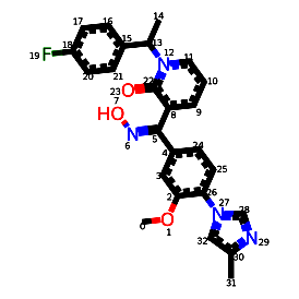 COc1cc(C(=NO)c2cccn(C(C)c3ccc(F)cc3)c2=O)ccc1-n1cnc(C)c1